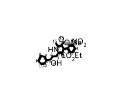 CCOC(=O)C1=C(CCC(O)c2ccccc2)NC(C)=C(C(=O)OC)C1c1cccc([N+](=O)[O-])c1